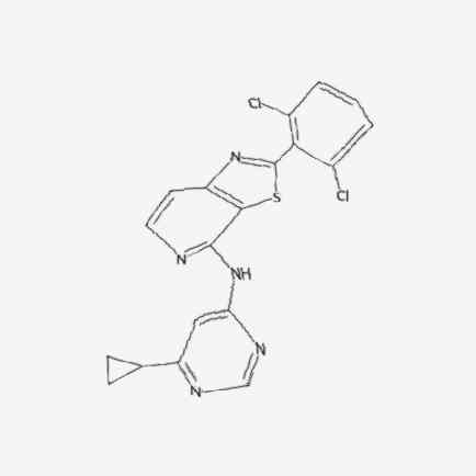 Clc1cccc(Cl)c1-c1nc2ccnc(Nc3cc(C4CC4)ncn3)c2s1